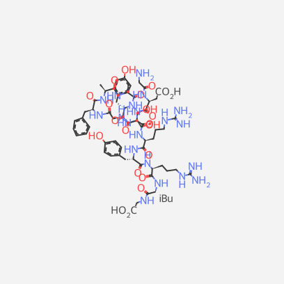 CC[C@H](C)[C@H](NC(=O)[C@H](CCCNC(=N)N)NC(=O)[C@H](Cc1ccc(O)cc1)NC(=O)[C@H](CCCNC(=N)N)NC(=O)[C@H](CO)NC(=O)[C@H](Cc1ccc(O)cc1)NC(=O)[C@H](C)NC(=O)[C@H](C)NC(=O)[C@H](Cc1ccccc1)NC(=O)CNC(=O)[C@H](CO)NC(=O)[C@H](CC(=O)O)NC(=O)CN)C(=O)NCC(=O)O